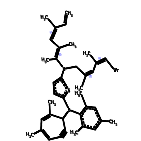 C=C/C(C)=C\C(C)=C(/C)B(C/C(C)=C\C(C)=C/C(C)C)c1ccc(B(c2c(C)cc(C)cc2C)C2C#CC=C(C)C=C2C)s1